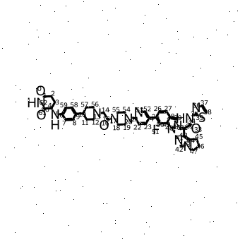 O=C1CCC(Nc2ccc(C3CCN(CC(=O)N4CCN(c5ccc(-c6ccc7cn(C(C(=O)Nc8nccs8)c8ncn9c8CCC9)nc7c6F)cn5)CC4)CC3)cc2)C(=O)N1